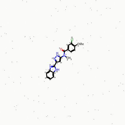 COc1ccc(C(=O)N(C)c2cc(-c3nc4ccccc4[nH]3)n[nH]2)cc1Cl